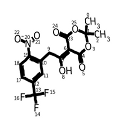 CC1(C)OC(=O)C(=C(O)Cc2cc(C(F)(F)F)ccc2[N+](=O)[O-])C(=O)O1